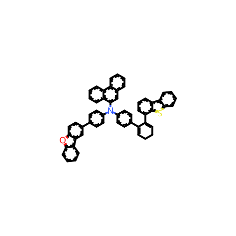 C1=C(c2ccc(N(c3ccc(-c4ccc5oc6ccccc6c5c4)cc3)c3cc4ccccc4c4ccccc34)cc2)C(c2cccc3c2sc2ccccc23)=CCC1